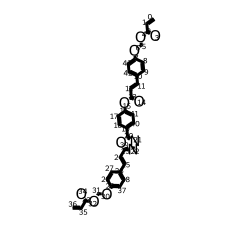 C=CC(=O)OCOc1ccc(/C=C/C(=O)Oc2ccc(-c3nnc(/C=C/c4ccc(OCOC(=O)C=C)cc4)o3)cc2)cc1